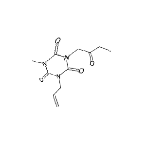 C=CCn1c(=O)n(C)c(=O)n(CC(=O)CC)c1=O